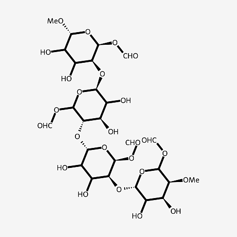 CO[C@@H]1O[C@@H](OC=O)[C@@H](O[C@@H]2OC(OC=O)[C@@H](O[C@@H]3O[C@@H](OC=O)[C@@H](O[C@@H]4OC(OC=O)[C@@H](OC)[C@@H](O)C4O)C(O)C3O)[C@H](O)C2O)C(O)C1O